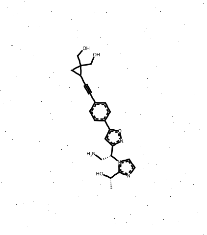 C[C@H](O)c1nccn1[C@H](CN)c1cc(-c2ccc(C#CC3CC3(CO)CO)cc2)on1